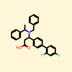 CC(c1ccccc1)N(Cc1ccccc1)C(CC(=O)O)c1ccc(-c2ccc(F)cc2F)cc1